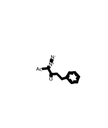 CC(=O)C(=[N+]=[N-])C(=O)CCc1ccccc1